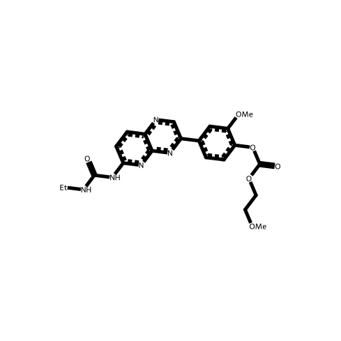 CCNC(=O)Nc1ccc2ncc(-c3ccc(OC(=O)OCCOC)c(OC)c3)nc2n1